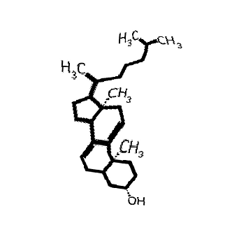 CC(C)CCCC(C)C1CCC2C3=CCC4C[C@@H](O)CC[C@]4(C)C3=CC[C@@]21C